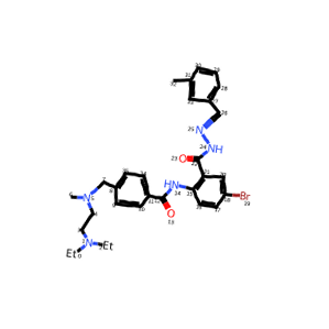 CCN(CC)CCN(C)Cc1ccc(C(=O)Nc2ccc(Br)cc2C(=O)N/N=C/c2cccc(C)c2)cc1